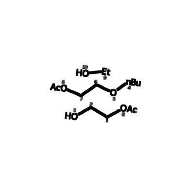 CC(=O)OCCO.CCCCOCCOC(C)=O.CCO